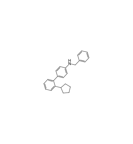 c1ccc(CNc2ccc(-c3ccccc3C3CCCC3)cc2)cc1